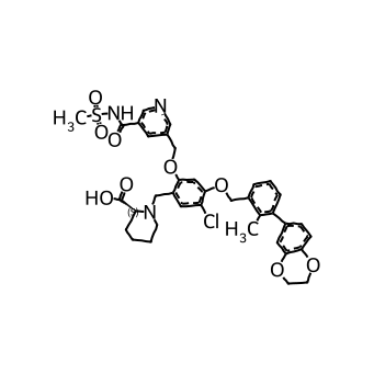 Cc1c(COc2cc(OCc3cncc(C(=O)NS(C)(=O)=O)c3)c(CN3CCCC[C@H]3C(=O)O)cc2Cl)cccc1-c1ccc2c(c1)OCCO2